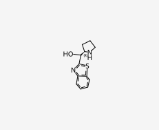 OC(c1nc2ccccc2s1)[C@H]1CCCN1